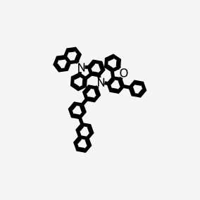 c1ccc(-c2ccc(N(c3ccc(-c4cccc(-c5ccc6ccccc6c5)c4)cc3)c3cccc4c3c3ccccc3n4-c3cccc4ccccc34)c3c2oc2ccccc23)cc1